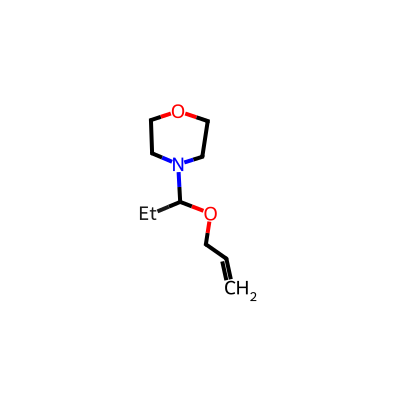 C=CCOC(CC)N1CCOCC1